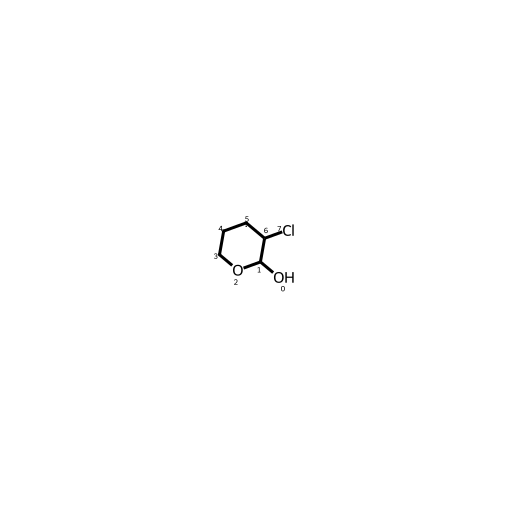 OC1OCC[CH]C1Cl